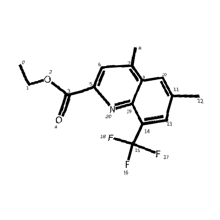 CCOC(=O)c1cc(C)c2cc(C)cc(C(F)(F)F)c2n1